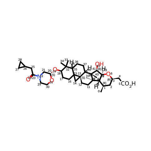 C[C@@H]1C[C@H](CC(=O)O)O[C@H]2[C@H]1[C@@]1(C)CC[C@@]34CC35CCC(O[C@H]3CN(C(=O)CC6CC6)CCO3)C(C)(C)[C@@H]5CC[C@H]4[C@]1(C)[C@H]2O